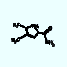 CC1CC(C(N)=O)NC1C